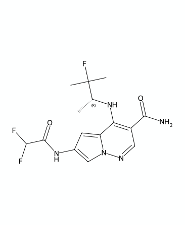 C[C@@H](Nc1c(C(N)=O)cnn2cc(NC(=O)C(F)F)cc12)C(C)(C)F